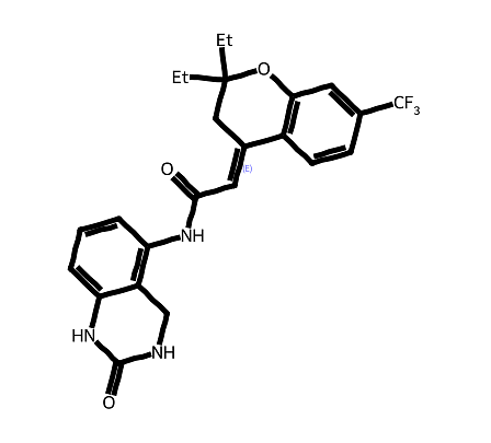 CCC1(CC)C/C(=C\C(=O)Nc2cccc3c2CNC(=O)N3)c2ccc(C(F)(F)F)cc2O1